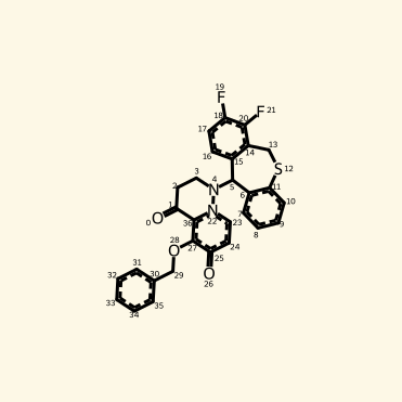 O=C1CCN(C2c3ccccc3SCc3c2ccc(F)c3F)n2ccc(=O)c(OCc3ccccc3)c21